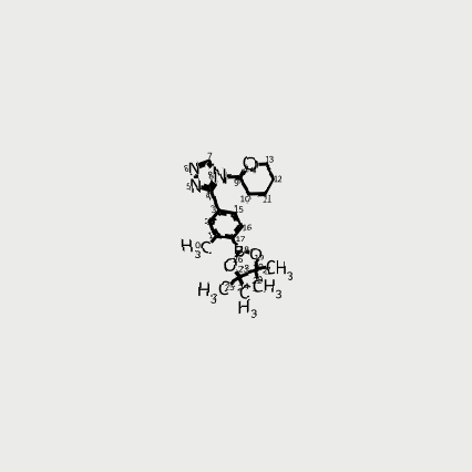 Cc1cc(-c2nncn2C2CCCCO2)ccc1B1OC(C)(C)C(C)(C)O1